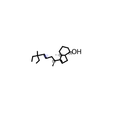 CCC(C)(/C=C/C[C@H](C)C1=CCC2[C@@H](O)CCC[C@]12C)CC